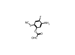 N#CSc1cc(F)c(N)cc1OC(=O)C=O